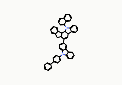 C1=C(c2ccc3c(c2)c2ccccc2n3-c2ccc(-c3ccccc3)cc2)C2=C(c3ccccc3C2)C2C1c1ccccc1N2c1cccc2ccccc12